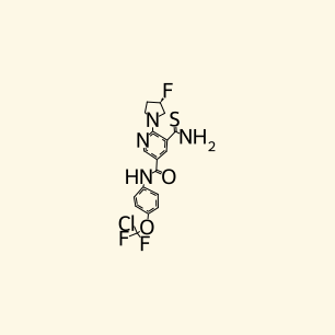 NC(=S)c1cc(C(=O)Nc2ccc(OC(F)(F)Cl)cc2)cnc1N1CC[C@@H](F)C1